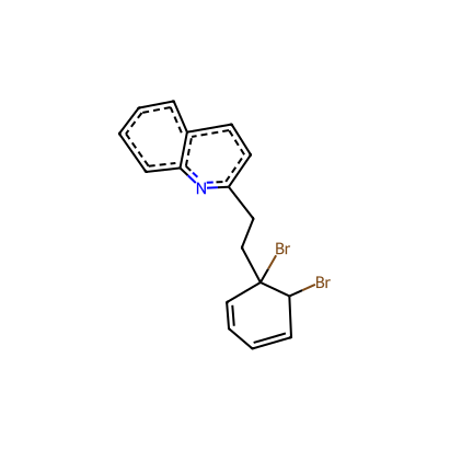 BrC1C=CC=CC1(Br)CCc1ccc2ccccc2n1